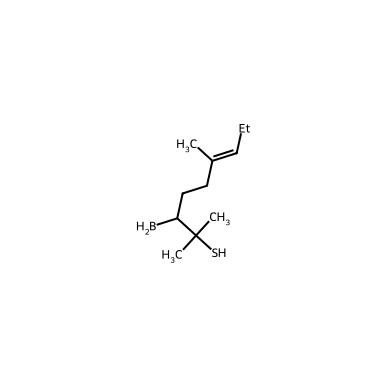 BC(CC/C(C)=C/CC)C(C)(C)S